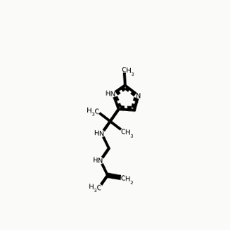 C=C(C)NCNC(C)(C)c1cnc(C)[nH]1